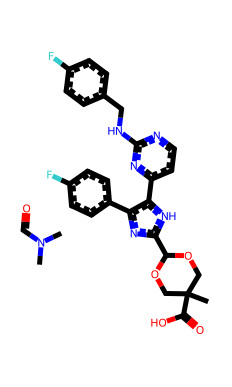 CC1(C(=O)O)COC(c2nc(-c3ccc(F)cc3)c(-c3ccnc(NCc4ccc(F)cc4)n3)[nH]2)OC1.CN(C)C=O